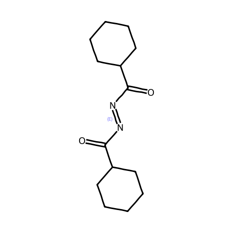 O=C(/N=N/C(=O)C1CCCCC1)C1CCCCC1